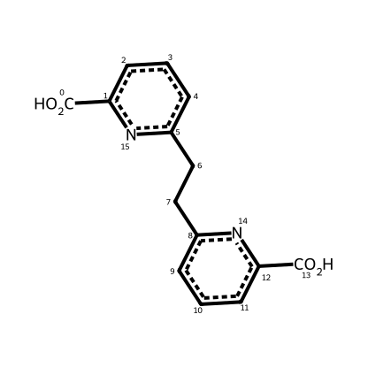 O=C(O)c1cccc(CCc2cccc(C(=O)O)n2)n1